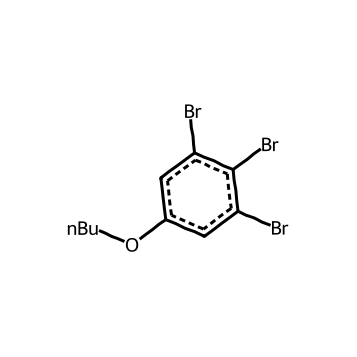 CCCCOc1cc(Br)c(Br)c(Br)c1